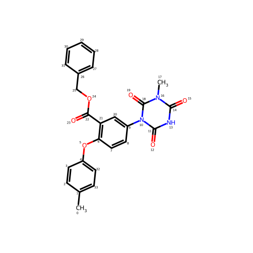 Cc1ccc(Oc2ccc(-n3c(=O)[nH]c(=O)n(C)c3=O)cc2C(=O)OCc2ccccc2)cc1